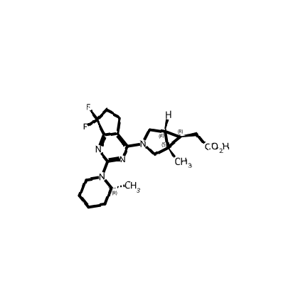 C[C@@H]1CCCCN1c1nc(N2C[C@@H]3[C@@H](CC(=O)O)[C@]3(C)C2)c2c(n1)C(F)(F)CC2